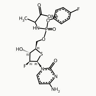 COC(=O)C(C)NP(=O)(OC[C@H]1S[C@@H](n2ccc(N)nc2=O)[C@@H](F)[C@@H]1O)Oc1ccc(F)cc1